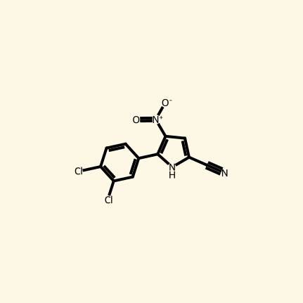 N#Cc1cc([N+](=O)[O-])c(-c2ccc(Cl)c(Cl)c2)[nH]1